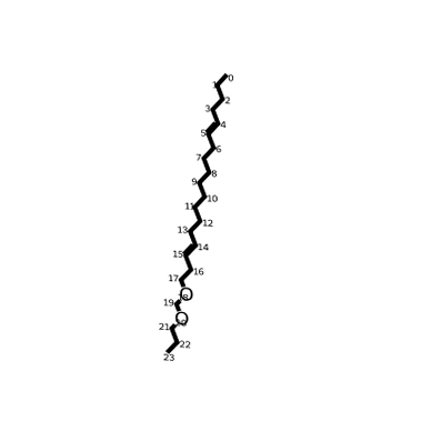 CCCC/C=C/CCCCCCCC/C=C/CCOCOCCC